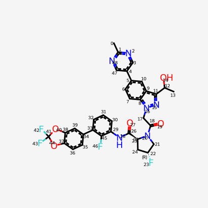 Cc1ncc(-c2ccc3c(c2)c(C(C)O)nn3CC(=O)N2C[C@H](F)C[C@H]2C(=O)Nc2cccc(-c3ccc4c(c3)OC(F)(F)O4)c2F)cn1